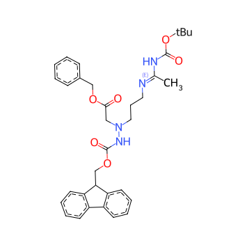 C/C(=N\CCCN(CC(=O)OCc1ccccc1)NC(=O)OCC1c2ccccc2-c2ccccc21)NC(=O)OC(C)(C)C